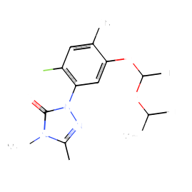 COC(C)OC(C)Oc1cc(-n2nc(C)n(OC)c2=O)c(F)cc1C#N